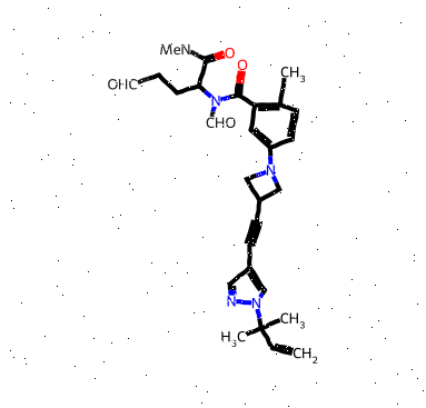 C=CC(C)(C)n1cc(C#CC2CN(c3ccc(C)c(C(=O)N(C=O)C(CCC=O)C(=O)NC)c3)C2)cn1